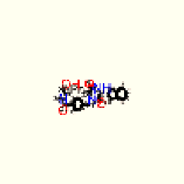 CC(C)C[C@@H]1C(=O)N[C@H](C2Cc3ccccc3C2)C(=O)N1Cc1ccc(C(=O)N(C)CCO)cc1